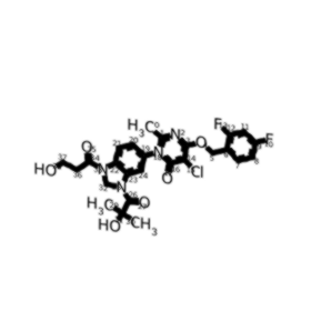 Cc1nc(OCc2ccc(F)cc2F)c(Cl)c(=O)n1-c1ccc2c(c1)N(C(=O)C(C)(C)O)CN2C(=O)CCO